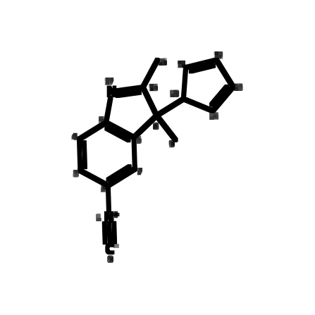 [C-]#[N+]c1ccc2c(c1)C(C)(C1C=CC=C1)C(C)=N2